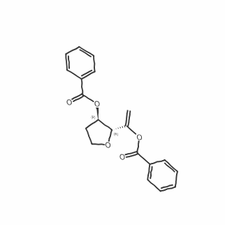 C=C(OC(=O)c1ccccc1)[C@@H]1OCC[C@H]1OC(=O)c1ccccc1